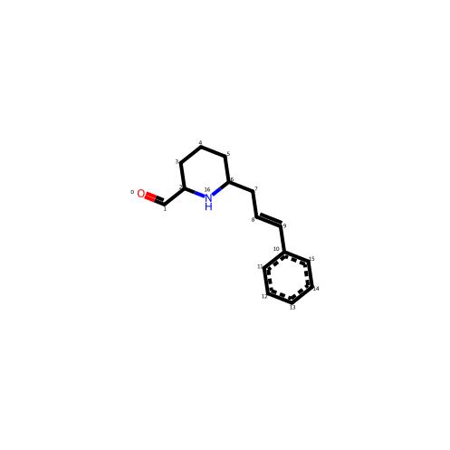 O=CC1CCCC(CC=Cc2ccccc2)N1